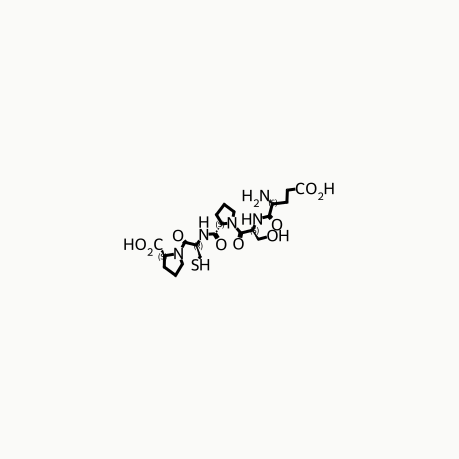 N[C@@H](CCC(=O)O)C(=O)N[C@@H](CO)C(=O)N1CCC[C@H]1C(=O)N[C@@H](CS)C(=O)N1CCC[C@H]1C(=O)O